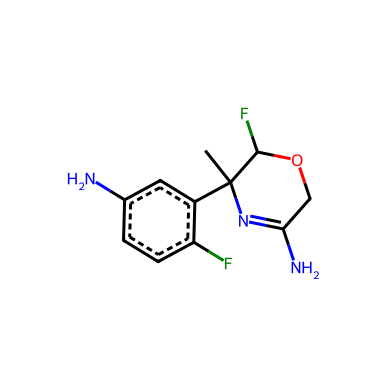 CC1(c2cc(N)ccc2F)N=C(N)COC1F